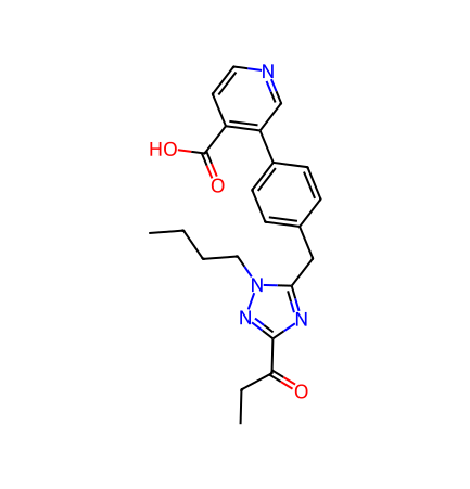 CCCCn1nc(C(=O)CC)nc1Cc1ccc(-c2cnccc2C(=O)O)cc1